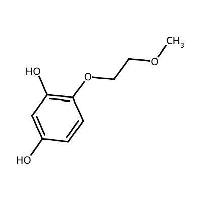 COCCOc1ccc(O)cc1O